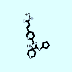 O=C(C=Cc1ccc(CNC2(C(=O)OC3CCCC3)CCOCC2)nc1)NO